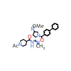 C/N=C(\NC(=O)C1CCN(C(C)=O)CC1)[C@@H]1C/C(=N/OC)CN1C(=O)c1ccc(-c2ccccc2)cc1